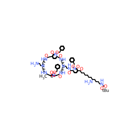 CC1NCCN(CCN)CCNC(=O)c2ccc(n(OCc3ccccc3)c2=O)C(=O)NCCN(CCNC(=O)c2ccc(C(=O)CCCCCCC(N)CCCCNC(=O)OC(C)(C)C)c(=O)n2OCc2ccccc2)CCNC(=O)C2=CCC1C(=O)N2OCc1ccccc1